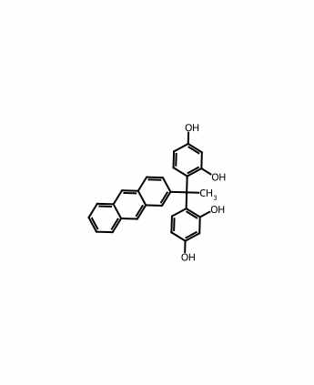 CC(c1ccc2cc3ccccc3cc2c1)(c1ccc(O)cc1O)c1ccc(O)cc1O